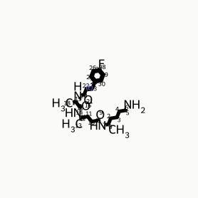 CC(CCCCN)NC(=O)CC[C@@H](C)NC(=O)C(C)NC(=O)/C=C/c1ccc(F)cc1